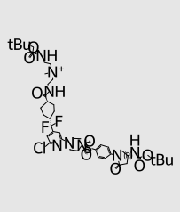 CC(C)(C)OC(=O)NCC[N+](C)(C)CCNC(=O)[C@H]1CC[C@H](C(F)(F)c2cc(Cl)nc(N3CCN(S(=O)(=O)c4ccc(N5C[C@H](NC(=O)OC(C)(C)C)CC5=O)cc4)CC3)c2)CC1